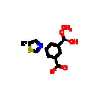 O.O=C([O-])c1cccc(C(=O)O)c1.[K+].c1cscn1